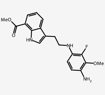 COC(=O)c1cccc2c(CCNc3ccc(N)c(OC)c3F)c[nH]c12